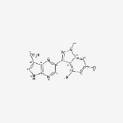 Cn1nc(-c2cnc3[nH]cc(C(=O)O)c3n2)c2c(F)cc(Cl)cc21